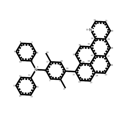 Cc1cc(N(c2ccccc2)c2ccccc2)c(C)cc1-c1ccc2ccc3cc4cccnc4c4ccc1c2c34